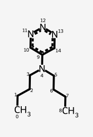 CCCCN(CCCC)c1cnnnc1